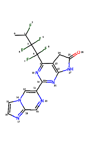 CC(F)C(F)(F)C(F)(F)c1nc(-c2cn3ccnc3cn2)nc2c1CC(=O)N2